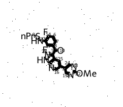 CCCSNc1c(F)ccc(C(=O)c2n[nH]c3ncc(-c4cnc(OC)nc4)cc23)c1F